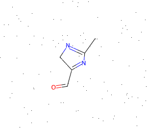 CC1=NCC(C=O)=N1